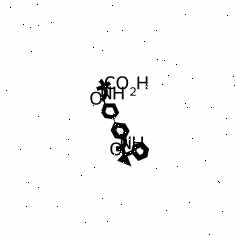 CC(C)(NC(=O)[C@H]1CC[C@H](c2ccc(NC(=O)C3(c4ccccc4)CC3)cc2)CC1)C(=O)O